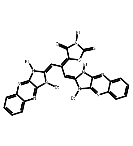 CCN1C(=O)C(=C(C=C2N(CC)c3nc4ccccc4nc3N2CC)C=C2N(CC)c3nc4ccccc4nc3N2CC)SC1=S